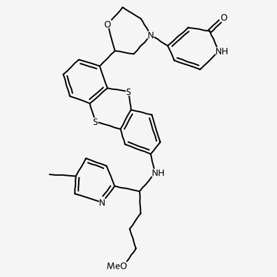 COCCCC(Nc1ccc2c(c1)Sc1cccc(C3CN(c4cc[nH]c(=O)c4)CCO3)c1S2)c1ccc(C)cn1